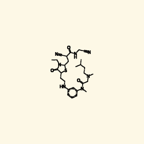 CCN1C(=O)C(CCNc2cccc(N(C)C(=O)CN(C)CCC(C)C)c2)SC1CC(C#N)C(=O)NCC#N